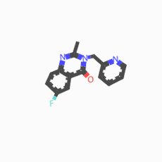 Cc1nc2ccc(F)cc2c(=O)n1Cc1ccccn1